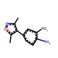 Cc1noc(C)c1-c1ccc(N)c([N+](=O)[O-])c1